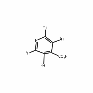 [2H]c1nc([2H])c([2H])c(C(=O)O)c1[2H]